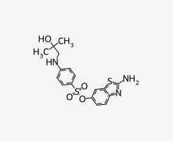 CC(C)(O)CNc1ccc(S(=O)(=O)Oc2ccc3nc(N)sc3c2)cc1